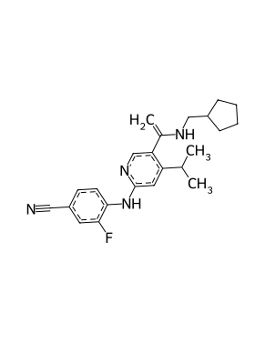 C=C(NCC1CCCC1)c1cnc(Nc2ccc(C#N)cc2F)cc1C(C)C